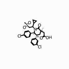 C[C@]1(CC(=O)O)C[C@H](c2cccc(Cl)c2)[C@@H](c2ccc(Cl)cc2)N(C(CS(C)(=O)=O)C2CC2)C1=O